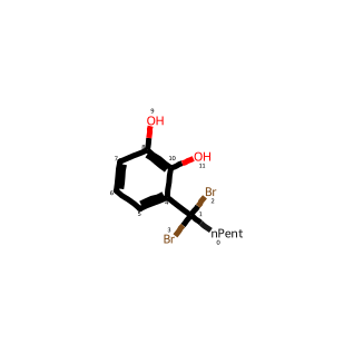 CCCCCC(Br)(Br)c1cccc(O)c1O